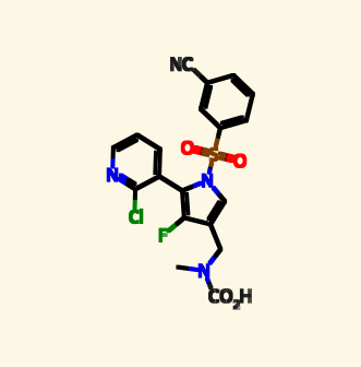 CN(Cc1cn(S(=O)(=O)c2cccc(C#N)c2)c(-c2cccnc2Cl)c1F)C(=O)O